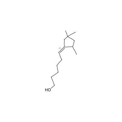 CC1CC(C)(C)C/C1=C/CCCCCO